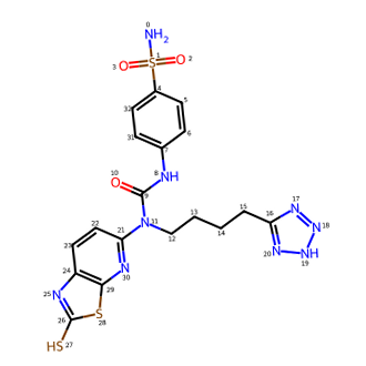 NS(=O)(=O)c1ccc(NC(=O)N(CCCCc2nn[nH]n2)c2ccc3nc(S)sc3n2)cc1